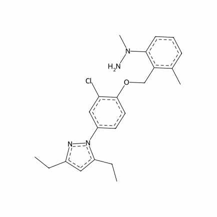 CCc1cc(CC)n(-c2ccc(OCc3c(C)cccc3N(C)N)c(Cl)c2)n1